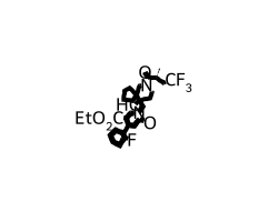 CCOC(=O)c1cn(CC2(O)CCN(C(=O)[C@H](C)CC(F)(F)F)CC23CCCC3)c(=O)cc1-c1ccccc1F